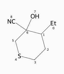 CCC1CCSCC1(O)C#N